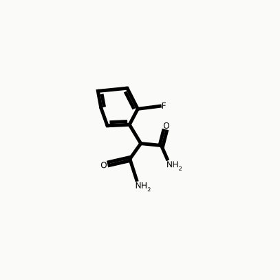 NC(=O)C(C(N)=O)c1ccccc1F